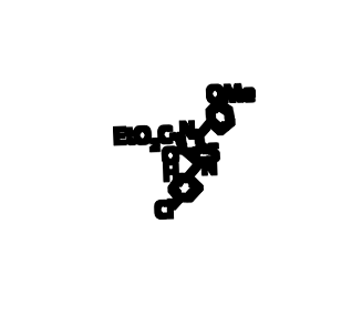 CCOC(=O)c1nc(-c2cccc(OC)c2)c2snc(-c3ccc(Cl)cc3)c2c1O